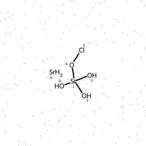 O[Si](O)(O)OCl.[SrH2]